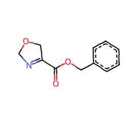 O=C(OCc1ccccc1)C1=NCOC1